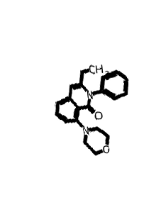 CCc1cc2cccc(N3CCOCC3)c2c(=O)n1-c1ccccc1